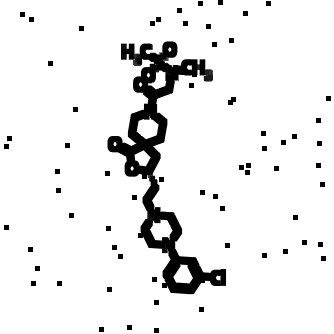 CN(CC(=O)N1CCC2(CC1)C[C@H](CCN1CCN(c3cccc(Cl)c3)CC1)OC2=O)S(C)(=O)=O